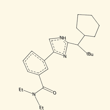 CCN(CC)C(=O)c1cccc(-c2c[nH]c(C(C3CCCCC3)C(C)(C)C)n2)c1